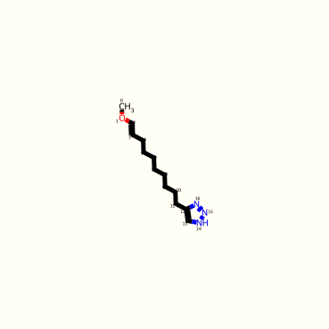 COC=CCCCCCCCCc1c[nH]nn1